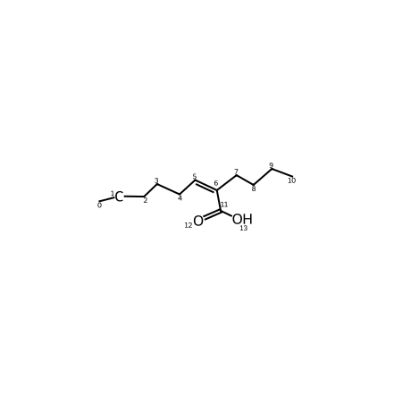 CCCCCC=C(CCCC)C(=O)O